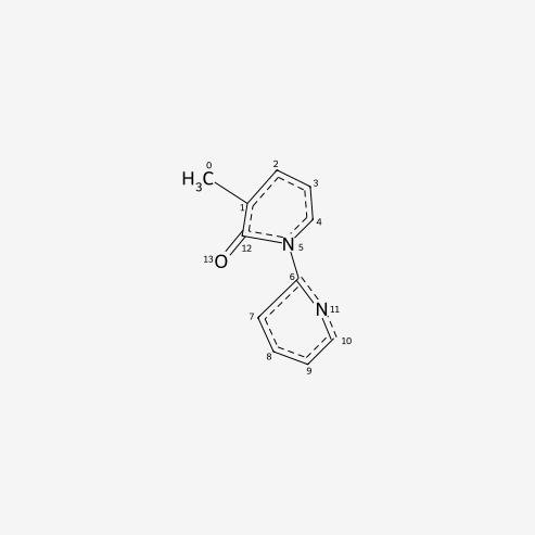 Cc1cccn(-c2ccccn2)c1=O